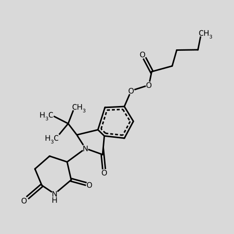 CCCCC(=O)OOc1ccc2c(c1)C(C(C)(C)C)N(C1CCC(=O)NC1=O)C2=O